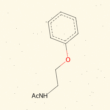 CC(=O)NCCOc1c[c]ccc1